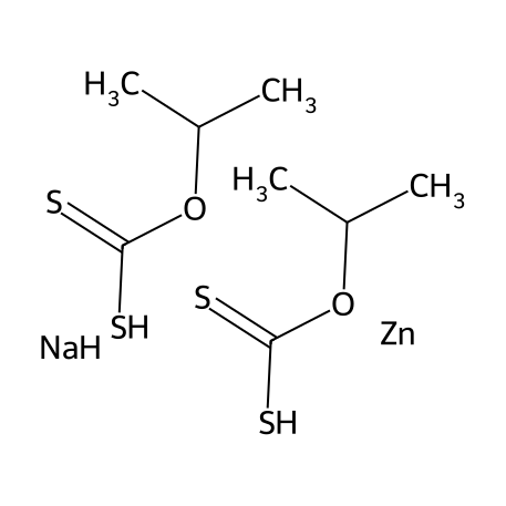 CC(C)OC(=S)S.CC(C)OC(=S)S.[NaH].[Zn]